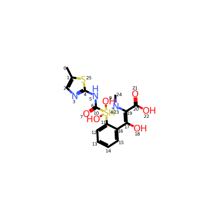 Cc1cnc(NC(=O)[SH]2(O)(O)c3ccccc3C(O)=C(C(=O)O)N2C)s1